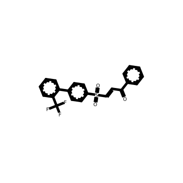 O=C(/C=C/S(=O)(=O)c1ccc(-c2ccccc2C(F)(F)F)cc1)c1ccccc1